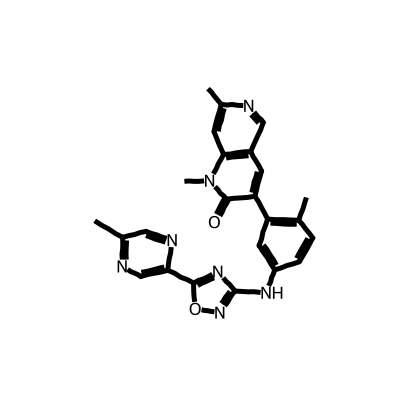 Cc1cnc(-c2nc(Nc3ccc(C)c(-c4cc5cnc(C)cc5n(C)c4=O)c3)no2)cn1